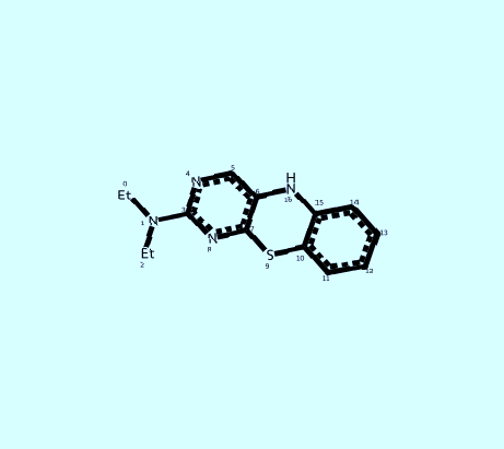 CCN(CC)c1ncc2c(n1)Sc1ccccc1N2